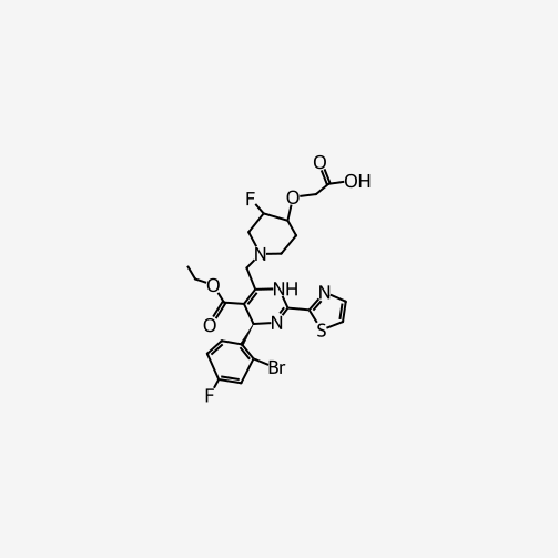 CCOC(=O)C1=C(CN2CCC(OCC(=O)O)C(F)C2)NC(c2nccs2)=N[C@H]1c1ccc(F)cc1Br